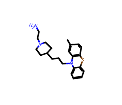 Cc1ccc2c(c1)N(CCCC1CCN(CCN)CC1)c1ccccc1S2